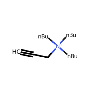 C#CC[N+](CCCC)(CCCC)CCCC